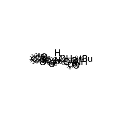 CC(NS(=O)(=O)c1cccc(OCC(O)CNC2COC3(CCN(S(=O)(=O)c4ccc5ccccc5c4)CC3)C2)c1)C(C)(C)C